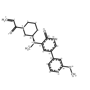 C=CC(=O)N1CCC[C@@H](N(C)c2cc(-c3ccnc(OC)c3)c[nH]c2=O)C1